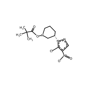 CC(C)(C)C(=O)ON1CCC[C@H](n2ncc([N+](=O)[O-])c2Cl)C1